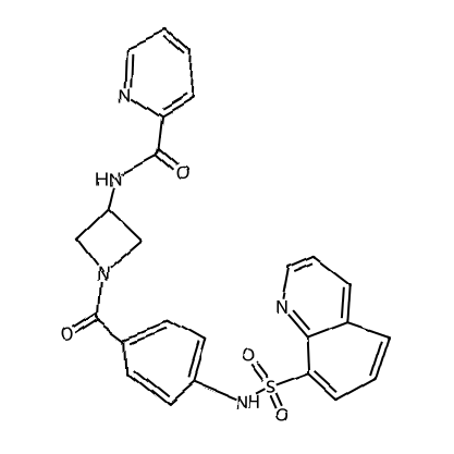 O=C(NC1CN(C(=O)c2ccc(NS(=O)(=O)c3cccc4cccnc34)cc2)C1)c1ccccn1